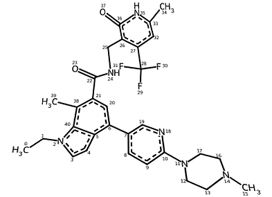 CCn1ccc2c(-c3ccc(N4CCN(C)CC4)nc3)cc(C(=O)NCc3c(C(F)(F)F)cc(C)[nH]c3=O)c(C)c21